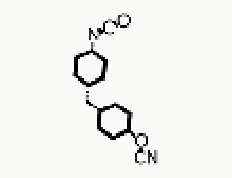 N#CO[C@H]1CC[C@@H](C[C@H]2CC[C@@H](N=C=O)CC2)CC1